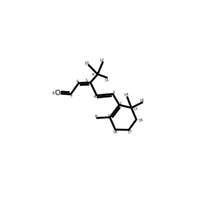 CC1=C(/C=C/C(=C\C=O)C(C)(C)C)C(C)(C)CCC1